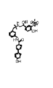 CC(C)(Cc1cccc(CNC(=O)c2ccc(-c3ccc(O)cc3)cc2)c1)NC[C@@H](O)c1ccc(O)c(NS(C)(=O)=O)c1